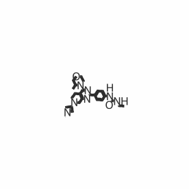 CCNC(=O)Nc1ccc(-c2nc3c(c(N4CCOCC4C)n2)CCN(C2CN(C)C2)C3)cc1